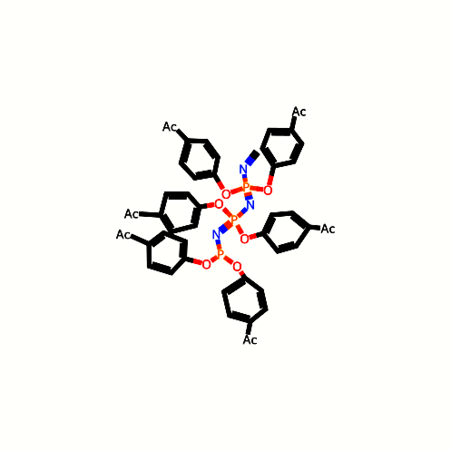 C=NP(=NP(=NP(Oc1ccc(C(C)=O)cc1)Oc1ccc(C(C)=O)cc1)(Oc1ccc(C(C)=O)cc1)Oc1ccc(C(C)=O)cc1)(Oc1ccc(C(C)=O)cc1)Oc1ccc(C(C)=O)cc1